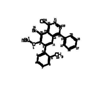 CCCCOc1c(-c2ccccc2C)cc2c(-c3ccccc3)nnc(Cl)c2c1Br